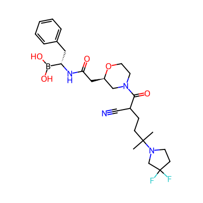 CC(C)(CCC(C#N)C(=O)N1CCO[C@H](CC(=O)N[C@@H](Cc2ccccc2)B(O)O)C1)N1CCC(F)(F)C1